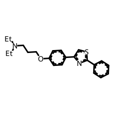 CCN(CC)CCCOc1ccc(-c2csc(-c3ccccc3)n2)cc1